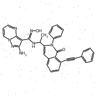 CC(N/C(=N\O)c1c(N)nn2cccnc12)c1cc2cccc(C#Cc3ccccc3)c2c(=O)n1-c1ccccc1